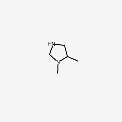 CC1[CH]NCN1C